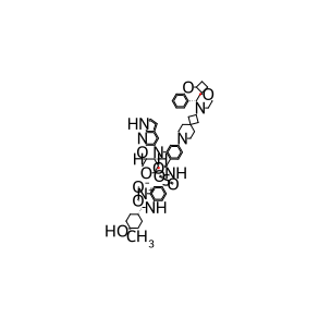 C[C@]1(O)CC[C@H](CNc2ccc(S(=O)(=O)NC(=O)c3ccc(N4CCC5(CC4)CC(N4CCOC[C@H]4c4ccccc4OC4CCC4)C5)cc3N3c4cc5cc[nH]c5nc4O[C@H]4COCC[C@@H]43)cc2[N+](=O)[O-])CC1